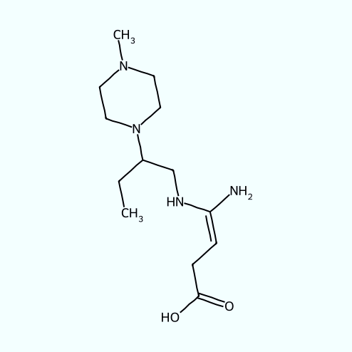 CCC(CN/C(N)=C\CC(=O)O)N1CCN(C)CC1